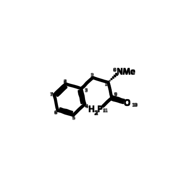 CN[C@@H](Cc1ccccc1)C(=O)P